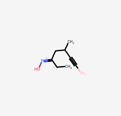 BC#CC(C)C/C(CC)=N/O